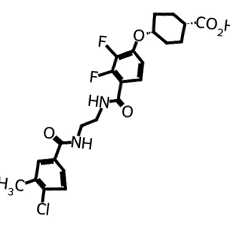 Cc1cc(C(=O)NCCNC(=O)c2ccc(O[C@H]3CC[C@@H](C(=O)O)CC3)c(F)c2F)ccc1Cl